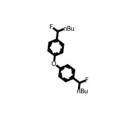 CCCCC(F)c1ccc(Oc2ccc(C(F)CCCC)cc2)cc1